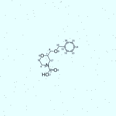 O=C(O)N1CCOC(COCc2ccccc2)C1